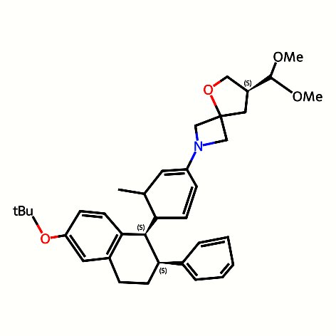 COC(OC)[C@@H]1COC2(C1)CN(C1=CC(C)C([C@@H]3c4ccc(OC(C)(C)C)cc4CC[C@@H]3c3ccccc3)C=C1)C2